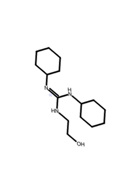 OCCN/C(=N/C1CCCCC1)NC1CCCCC1